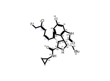 C=C(/C=C\C=C(\Cl)CF)[C@H]1[C@H](C(=O)NC2CC2)N[C@@H](CC(C)(C)C)[C@@]12C(=O)Nc1cc(Cl)ccc12